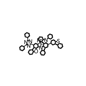 FC(F)(F)c1cc(-c2nc(-c3ccccc3)nc(-c3ccccc3)n2)c2c(oc3ccccc32)c1-n1c2ccccc2c2cc(-c3ccc4sc5ccccc5c4c3)c3c(c4ccccc4n3-c3ccccc3)c21